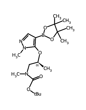 C[C@@H](CN(C)C(=O)OC(C)(C)C)Oc1c(B2OC(C)(C)C(C)(C)O2)cnn1C